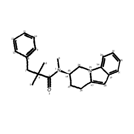 CN(C(=O)C(C)(C)Cc1ccccc1)[C@@H]1CCc2[c]c3ccccc3n2C1